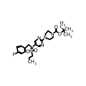 CCCS(=O)(=O)N(Cc1ccc(F)cc1)c1cnc(N2CCN(C(=O)OC(C)(C)C)CC2)nc1